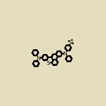 C[Si](C)(C)c1ccc(N(c2ccccc2)c2ccc3cc4c5c(cccc5c3c2)Sc2cc(N(c3ccccc3)c3ccccc3)ccc2-4)cc1